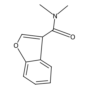 CN(C)C(=O)c1coc2ccccc12